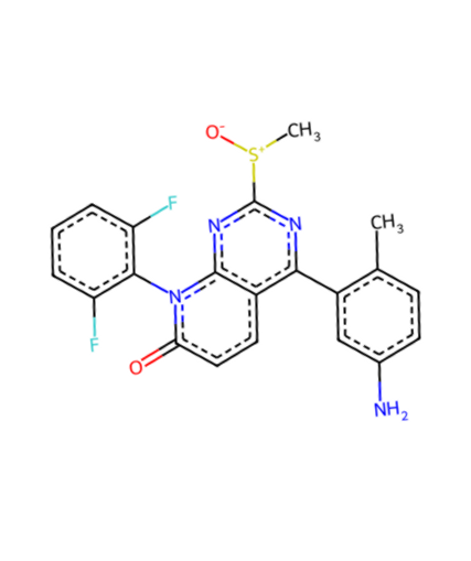 Cc1ccc(N)cc1-c1nc([S+](C)[O-])nc2c1ccc(=O)n2-c1c(F)cccc1F